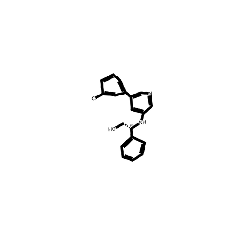 OC[C@H](Nc1cncc(-c2cccc(Cl)c2)c1)c1ccccc1